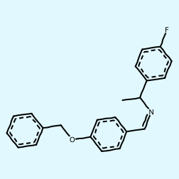 CC(/N=C\c1ccc(OCc2ccccc2)cc1)c1ccc(F)cc1